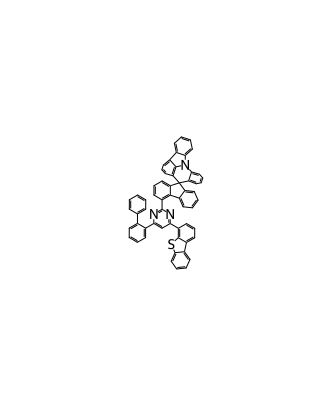 c1ccc(-c2ccccc2-c2cc(-c3cccc4c3sc3ccccc34)nc(-c3cccc4c3-c3ccccc3C43c4ccccc4-n4c5ccccc5c5cccc3c54)n2)cc1